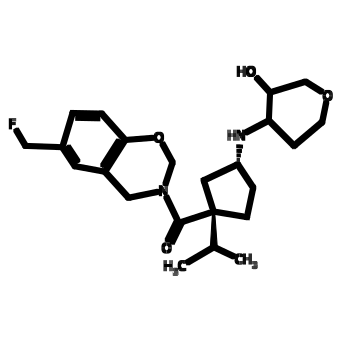 CC(C)[C@]1(C(=O)N2COc3ccc(CF)cc3C2)CC[C@@H](NC2CCOCC2O)C1